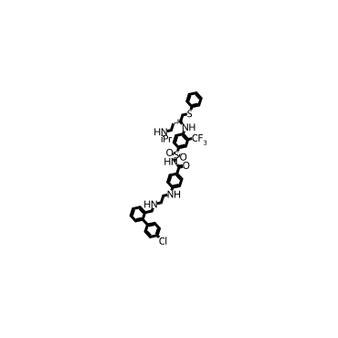 CC(C)NCC[C@H](CSc1ccccc1)Nc1ccc(S(=O)(=O)NC(=O)c2ccc(NCCNCc3ccccc3-c3ccc(Cl)cc3)cc2)cc1C(F)(F)F